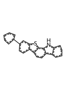 c1ccc(-c2ccc3c(c2)sc2c3ccc3c4ccccc4[nH]c32)cc1